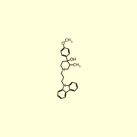 COc1ccc(C2(O)CCN(CCCn3c4ccccc4c4ccccc43)CC2C)cc1